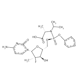 CC(C)N([C@@H](C)C(=O)O)[P@](=O)(OC[C@H]1O[C@@H](n2ccc(N)nc2=O)[C@](C)(F)[C@@H]1O)Oc1ccccc1